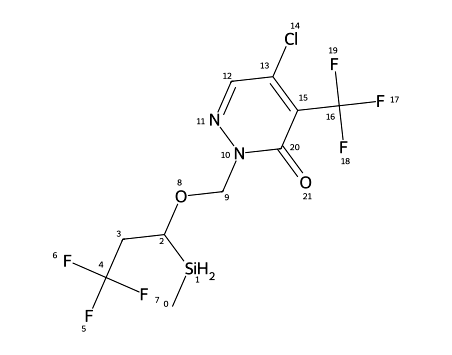 C[SiH2]C(CC(F)(F)F)OCn1ncc(Cl)c(C(F)(F)F)c1=O